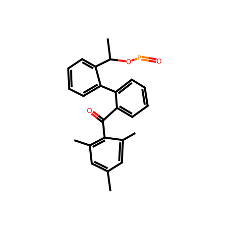 Cc1cc(C)c(C(=O)c2ccccc2-c2ccccc2C(C)OP=O)c(C)c1